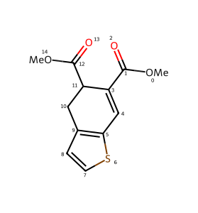 COC(=O)C1=Cc2sccc2CC1C(=O)OC